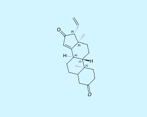 C=C[C@H]1C(=O)C=C2[C@@H]3CCC4CC(=O)CC[C@]4(C)[C@H]3CC[C@@]21C